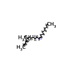 CCCCCCCC/C=C\CCCCCC(C)OCCCC